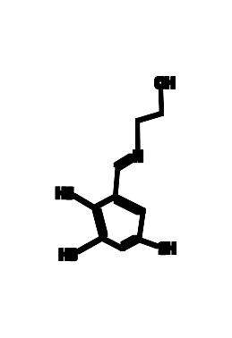 OCCN=Cc1cc(S)cc(S)c1S